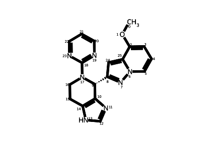 COc1cccn2nc([C@@H]3c4nc[nH]c4CCN3c3ncccn3)cc12